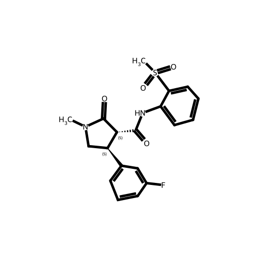 CN1C[C@H](c2cccc(F)c2)[C@@H](C(=O)Nc2ccccc2S(C)(=O)=O)C1=O